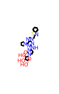 O=c1nc(Nc2nc(N3CCCC3)c3ncn(Cc4nc5ccccc5s4)c3n2)ccn1C1O[C@H](CO)[C@@H](O)[C@H]1O